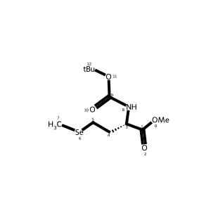 COC(=O)[C@H](CC[Se]C)NC(=O)OC(C)(C)C